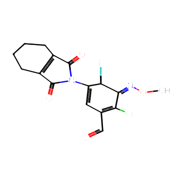 CON=C1C(Cl)=C([C]=O)C=C(N2C(=O)C3=C(CCCC3)C2=O)C1F